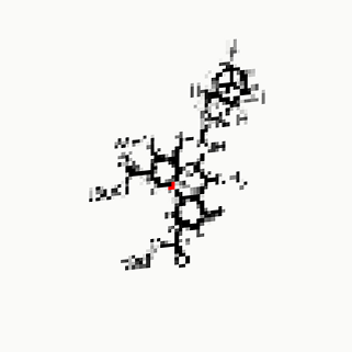 COc1c(C[C@@H](NC(=O)C(N)c2c(F)cc(C(=O)OC(C)(C)C)cc2F)B2O[C@@H]3C[C@@H]4C[C@@H](C4(C)C)[C@]3(C)O2)cccc1C(=O)OC(C)(C)C